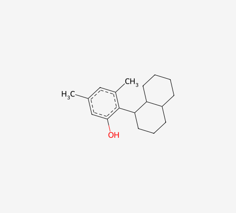 Cc1cc(C)c(C2CCCC3CCCCC32)c(O)c1